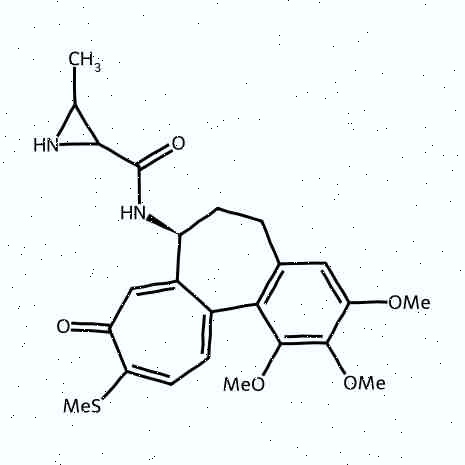 COc1cc2c(c(OC)c1OC)-c1ccc(SC)c(=O)cc1[C@@H](NC(=O)C1NC1C)CC2